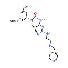 CCN1C(=O)N(c2cc(OC)cc(OC)c2)Cc2cnc(NCCNCc3ccncc3)nc21